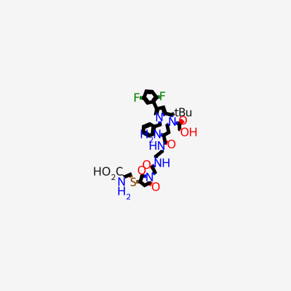 CC(C)(C)C(c1cc(-c2cc(F)ccc2F)cn1Cc1ccccc1)N(CCC(N)C(=O)NCCNC(=O)CN1C(=O)CC(SC[C@H](N)C(=O)O)C1=O)C(=O)CO